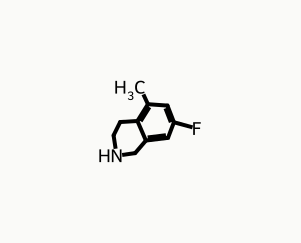 Cc1cc(F)cc2c1CCNC2